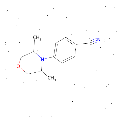 CC1COCC(C)N1c1ccc(C#N)cc1